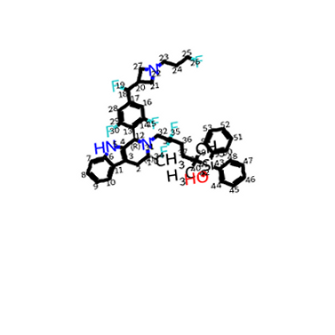 C[C@@H]1Cc2c([nH]c3ccccc23)[C@@H](c2c(F)cc(C(F)C3CN(CCCF)C3)cc2F)N1CC(F)(F)CCC(C)(C)[Si](O)(c1ccccc1)c1ccccc1